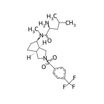 CC(C)C[C@H](N)C(=O)N(C)[C@@H]1CC[C@@H]2CN(S(=O)(=O)c3ccc(C(F)(F)F)cc3)C[C@@H]21